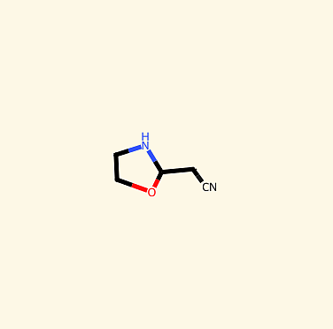 N#C[CH]C1NCCO1